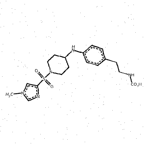 Cn1cnc(S(=O)(=O)N2CCC(Nc3ccc(CCNC(=O)O)cc3)CC2)c1